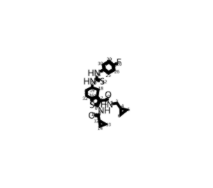 O=C(NCC1CC1)c1c(NC(=O)C2CC2)sc2c1CC(NC(=S)Nc1ccc(F)cc1)CC2